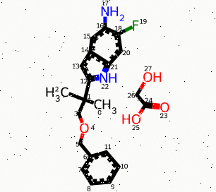 CC(C)(COCc1ccccc1)c1cc2cc(N)c(F)cc2[nH]1.O=C(O)CO